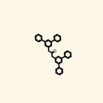 O=C(Cc1cc(-c2ccccc2)cc(-c2ccccc2)c1)Cc1cc(-c2ccccc2)cc(-c2ccccc2)c1